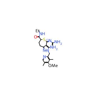 C=C(N)/N=C1/SC(C(=O)NCC)CCc2nn(Cc3ncc(C)c(OC)c3C)c(N)c21